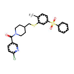 O=C(c1ccc(Cl)nc1)N1CCC(CSc2cc(S(=O)(=O)c3ccccc3)ccc2C(F)(F)F)CC1